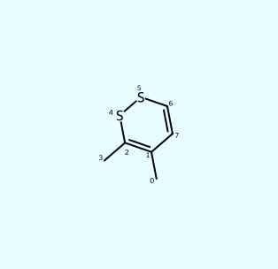 CC1=C(C)SSC=C1